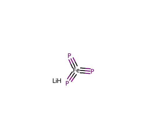 [LiH].[P]#[Fe](#[P])#[P]